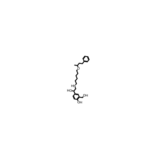 CC(CCc1ccccc1)OCCCCCCNCC(O)c1ccc(O)c(CO)c1